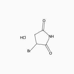 Cl.O=C1CC(Br)C(=O)N1